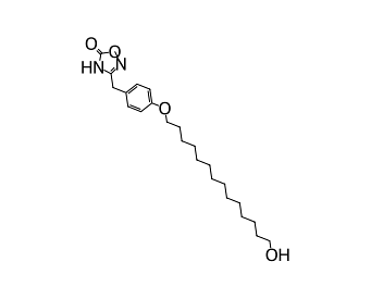 O=c1[nH]c(Cc2ccc(OCCCCCCCCCCCCCCO)cc2)no1